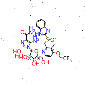 Cc1c(OCC(F)(F)F)ccnc1C[S+]([O-])c1nc2ccccc2[nH]1.NC(=O)c1ncn([C@@H]2O[C@H](CO)[C@@H](O)[C@H]2O)c1N.OO